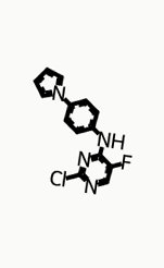 Fc1cnc(Cl)nc1Nc1ccc(-n2cccc2)cc1